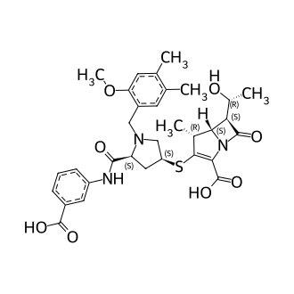 COc1cc(C)c(C)cc1CN1C[C@@H](SC2=C(C(=O)O)N3C(=O)[C@H]([C@@H](C)O)[C@H]3[C@H]2C)C[C@H]1C(=O)Nc1cccc(C(=O)O)c1